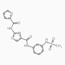 CS(=O)(=O)Nc1cccc(NC(=O)c2coc(NC(=O)c3cccs3)n2)c1